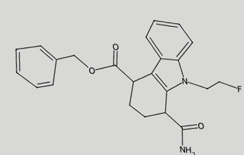 NC(=O)C1CCC(C(=O)OCc2ccccc2)c2c1n(CCF)c1ccccc21